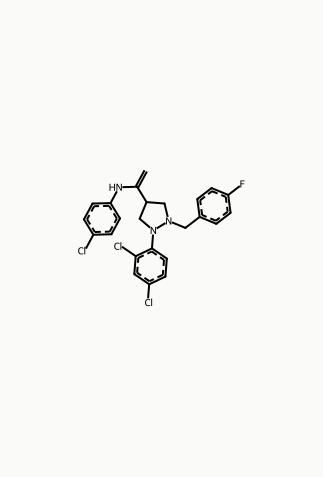 C=C(Nc1ccc(Cl)cc1)C1CN(Cc2ccc(F)cc2)N(c2ccc(Cl)cc2Cl)C1